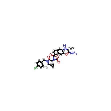 CC(C)[C@@H](Nc1ccc2c(c1)CC[C@]21OC(=O)N(CC(=O)N(Cc2ccc(F)cc2)[C@@H](C)C2CC2)C1=O)C(N)=O